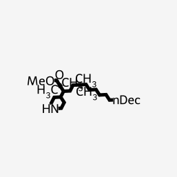 CCCCCCCCCCCCCCCCC(C)(C)CCC(C1CCNCC1)C(C)(C)C(=O)OC